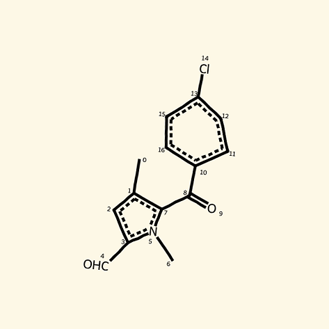 Cc1cc(C=O)n(C)c1C(=O)c1ccc(Cl)cc1